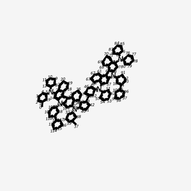 Cc1cccc(N(c2ccccc2)c2cc3c(c4ccccc24)c2c4ccccc4c(N(c4cccc(C)c4)c4cccc(-c5cccc(N(c6ccccc6)c6cc7c(c8ccccc68)c6c8ccccc8c(N(c8ccccc8)c8ccccc8)cc6n7-c6cccc(-c7ccccc7)c6)c5)c4)cc2n3-c2cccc(-c3ccccc3)c2)c1